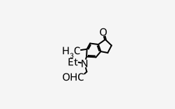 CCN(CC=O)c1cc2c(cc1C)C(=O)CC2